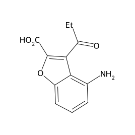 CCC(=O)c1c(C(=O)O)oc2cccc(N)c12